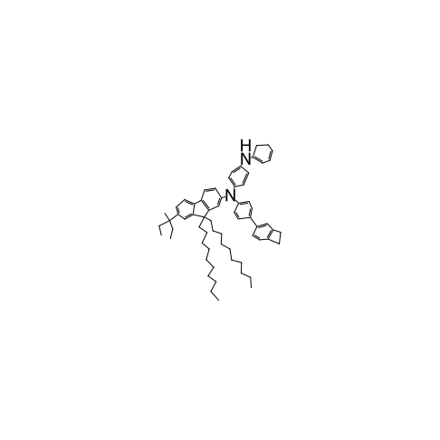 CCCCCCCCCCC1(CCCCCCCCCC)c2cc(N(c3ccc(NC4=CC=CCC4)cc3)c3ccc(-c4ccc5c(c4)CC5)cc3)ccc2-c2ccc(C(C)(CC)CC)cc21